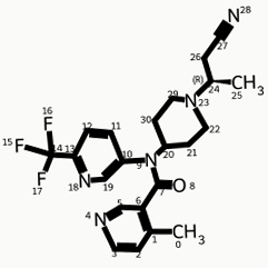 Cc1ccncc1C(=O)N(c1ccc(C(F)(F)F)nc1)C1CCN([C@H](C)CC#N)CC1